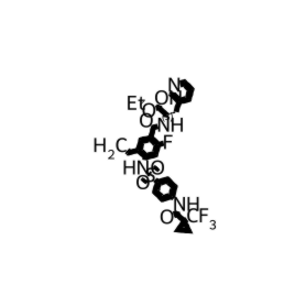 C=Cc1cc(C(=O)N[C@@H](Cc2cccnc2)C(O)OCC)c(F)cc1NS(=O)(=O)c1ccc(NC(=O)C2(C(F)(F)F)CC2)cc1